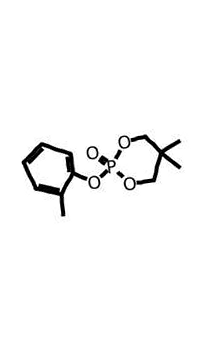 Cc1ccccc1OP1(=O)OCC(C)(C)CO1